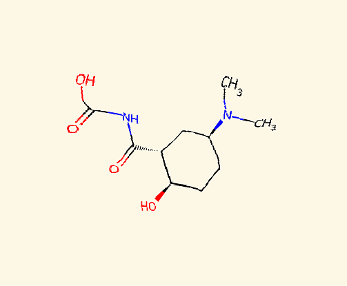 CN(C)[C@H]1CC[C@@H](O)[C@H](C(=O)NC(=O)O)C1